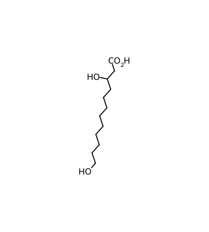 O=C(O)CC(O)CCCCCCCCCO